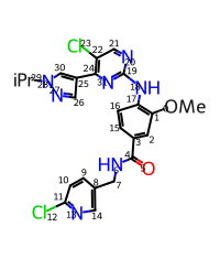 COc1cc(C(=O)NCc2ccc(Cl)nc2)ccc1Nc1ncc(Cl)c(-c2cnn(C(C)C)c2)n1